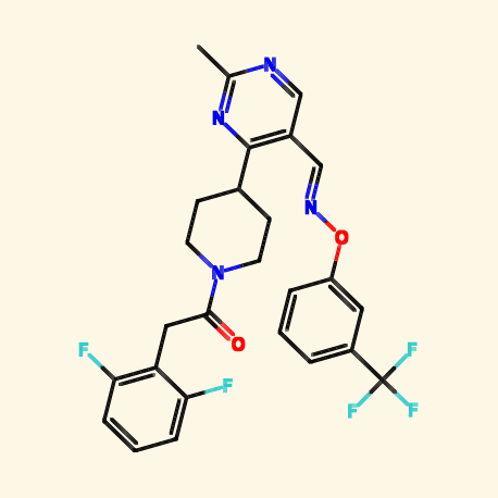 Cc1ncc(/C=N/Oc2cccc(C(F)(F)F)c2)c(C2CCN(C(=O)Cc3c(F)cccc3F)CC2)n1